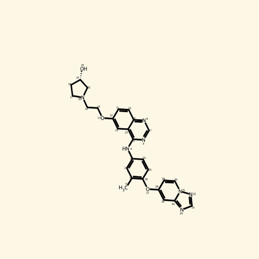 Cc1cc(Nc2ncnc3ccc(OCCN4CC[C@H](O)C4)cc23)ccc1Oc1ccn2ncnc2c1